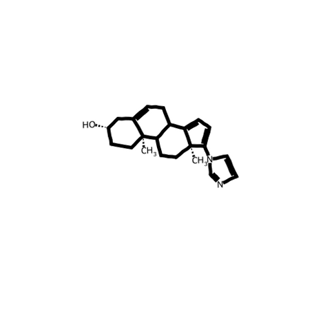 C[C@]12CCC3C(CC=C4C[C@@H](O)CC[C@@]43C)C1=CC=C2n1ccnc1